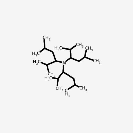 CC(C)C[CH](C(C)C)[Al]([CH](CC(C)C)C(C)C)[CH](CC(C)C)C(C)C